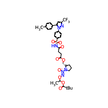 Cc1ccc(-c2cc(C(F)(F)F)nn2-c2ccc(S(=O)(=O)NC(=O)CCC(=O)OC[C@@H]3CCCN3/[N+]([O-])=N/OC(C)OC(=O)C(C)(C)C)cc2)cc1